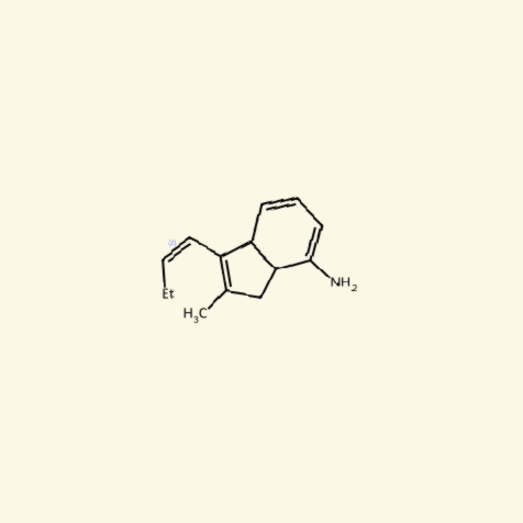 CC/C=C\C1=C(C)CC2C(N)=CC=CC12